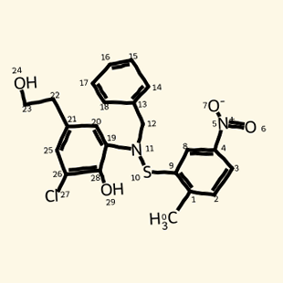 Cc1ccc([N+](=O)[O-])cc1SN(Cc1ccccc1)c1cc(CCO)cc(Cl)c1O